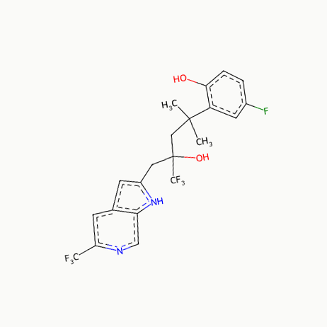 CC(C)(CC(O)(Cc1cc2cc(C(F)(F)F)ncc2[nH]1)C(F)(F)F)c1cc(F)ccc1O